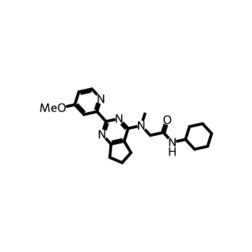 COc1ccnc(-c2nc3c(c(N(C)CC(=O)NC4CCCCC4)n2)CCC3)c1